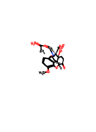 CC(=O)O.COc1ccc2c3c1O[C@H]1C(=O)CC[C@@]4(O)[C@@H](C2)N(C)CC[C@]314.O.O.O